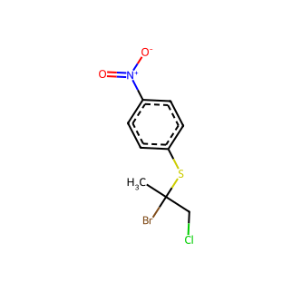 CC(Br)(CCl)Sc1ccc([N+](=O)[O-])cc1